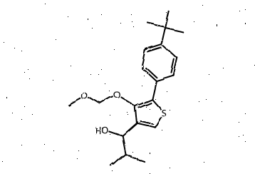 COCOc1c(C(O)C(C)C)csc1-c1ccc(C(C)(C)C)cc1